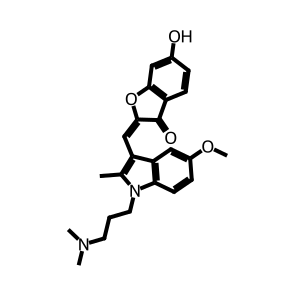 COc1ccc2c(c1)c(C=C1Oc3cc(O)ccc3C1=O)c(C)n2CCCN(C)C